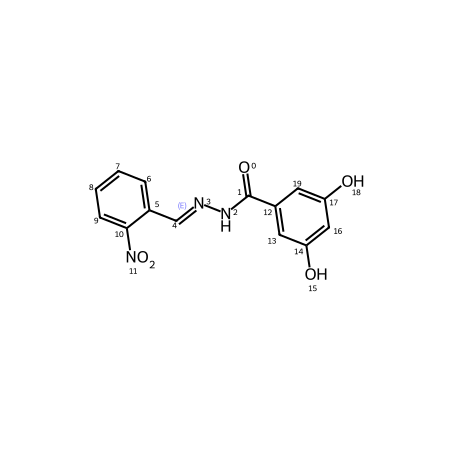 O=C(N/N=C/c1ccccc1[N+](=O)[O-])c1cc(O)cc(O)c1